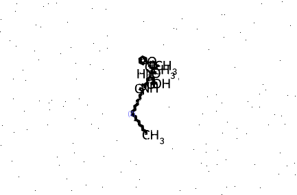 CCCCCCCC/C=C\CCCCCCCC(=O)NCCCC(CC(=O)O)NC(=O)C1OC(c2ccccc2)OCC1(C)C